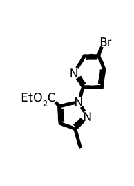 CCOC(=O)c1cc(C)nn1-c1ccc(Br)cn1